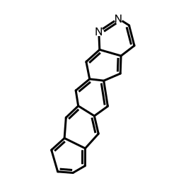 c1ccc2cc3cc4cc5nnccc5cc4cc3cc2c1